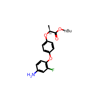 CCCCOC(=O)[C@H](C)Oc1ccc(Oc2ccc(N)cc2F)cc1